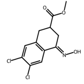 COC(=O)C1C/C(=N\O)c2cc(Cl)c(Cl)cc2C1